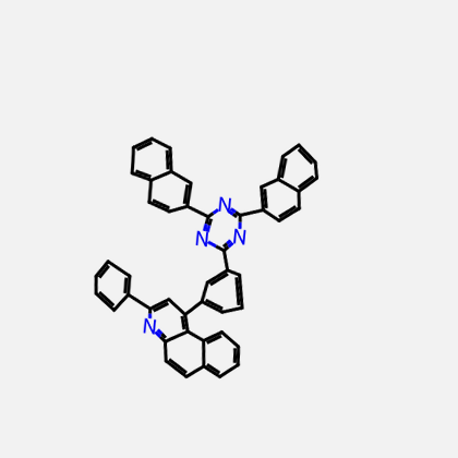 c1ccc(-c2cc(-c3cccc(-c4nc(-c5ccc6ccccc6c5)nc(-c5ccc6ccccc6c5)n4)c3)c3c(ccc4ccccc43)n2)cc1